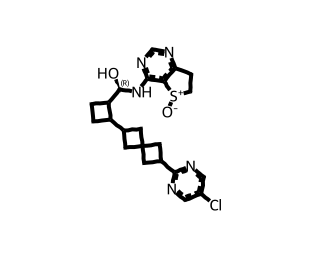 [O-][S+]1CCc2ncnc(N[C@H](O)C3CCC3C3CC4(CC(c5ncc(Cl)cn5)C4)C3)c21